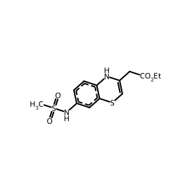 CCOC(=O)CC1=CSc2cc(NS(C)(=O)=O)ccc2N1